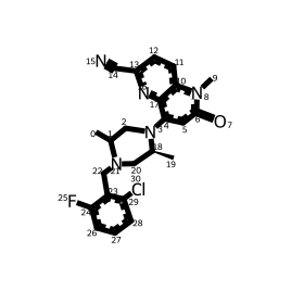 CC1CN(c2cc(=O)n(C)c3ccc(C#N)nc23)[C@@H](C)CN1Cc1c(F)cccc1Cl